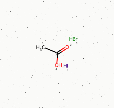 Br.CC(=O)O.I